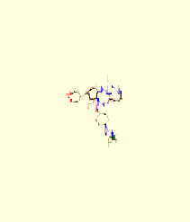 O=C(C1CCC(N2CC(F)(F)C2)CC1)N1Cc2cccnc2Nc2ccc(C3CCOCC3)cc21